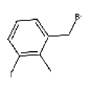 Cc1c(I)cccc1CBr